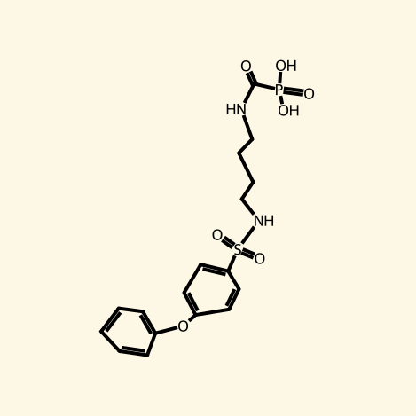 O=C(NCCCCNS(=O)(=O)c1ccc(Oc2ccccc2)cc1)P(=O)(O)O